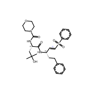 CC(C)(O)C[C@H](NC(=O)N1CCOCC1)C(=O)N[C@H](/C=C/S(=O)(=O)c1ccccc1)CCc1ccccc1